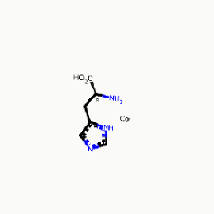 N[C@@H](Cc1cnc[nH]1)C(=O)O.[Co]